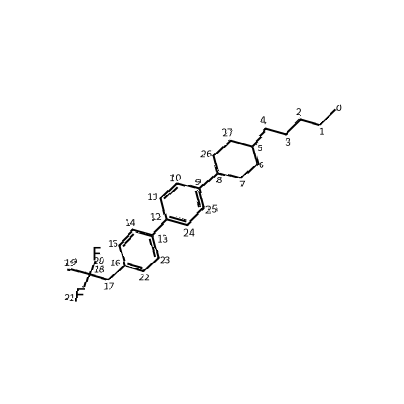 CCCCCC1CCC(c2ccc(-c3ccc(CC(C)(F)F)cc3)cc2)CC1